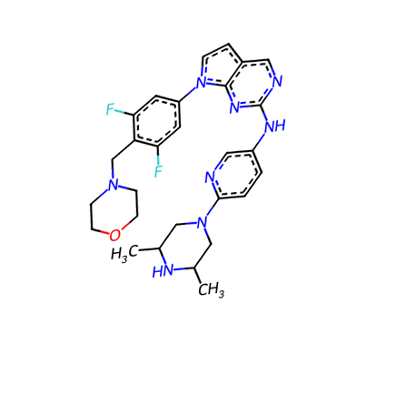 CC1CN(c2ccc(Nc3ncc4ccn(-c5cc(F)c(CN6CCOCC6)c(F)c5)c4n3)cn2)CC(C)N1